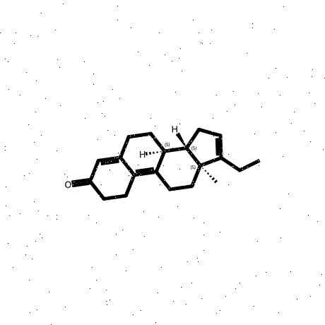 CCC1=CC[C@H]2[C@@H]3CCC4=CC(=O)CCC4=C3CC[C@]12C